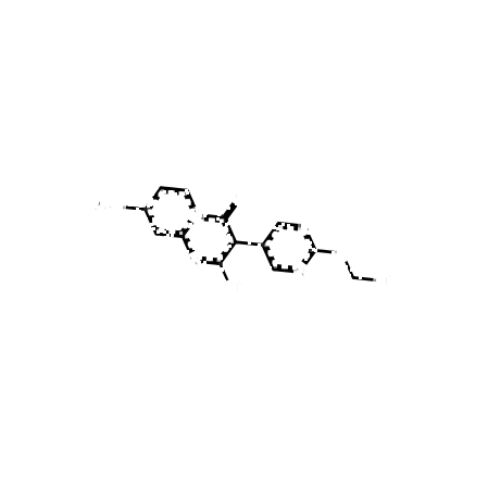 COc1ccn2c(=O)c(-c3cnc(OCC(F)(F)F)nc3)c(C(F)(F)F)nc2c1